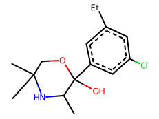 CCc1cc(Cl)cc(C2(O)OCC(C)(C)NC2C)c1